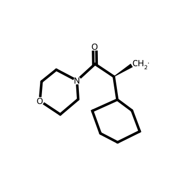 [CH2][C@H](C(=O)N1CCOCC1)C1CCCCC1